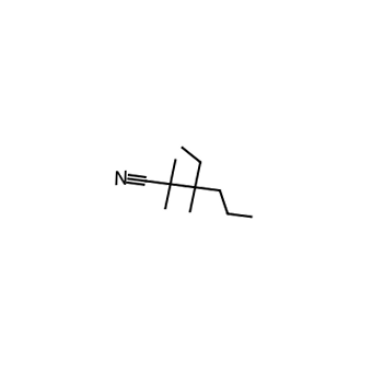 CCCC(C)(CC)C(C)(C)C#N